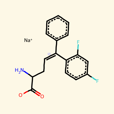 NC(C/C=C(/c1ccccc1)c1ccc(F)cc1F)C(=O)[O-].[Na+]